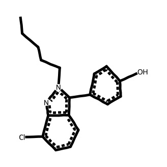 CCCCCn1nc2c(Cl)cccc2c1-c1ccc(O)cc1